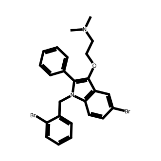 CN(C)CCOc1c(-c2ccccc2)n(Cc2ccccc2Br)c2ccc(Br)cc12